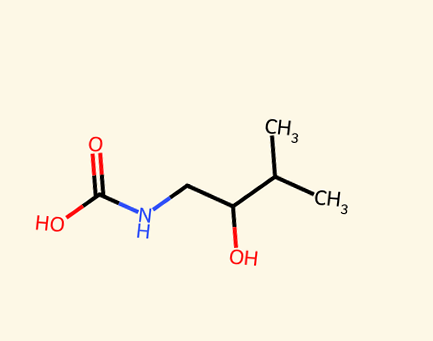 CC(C)C(O)CNC(=O)O